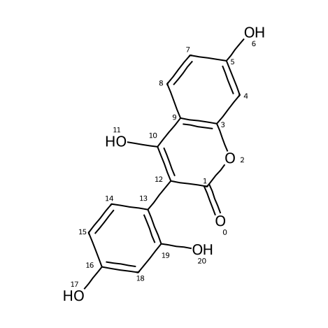 O=c1oc2cc(O)ccc2c(O)c1-c1ccc(O)cc1O